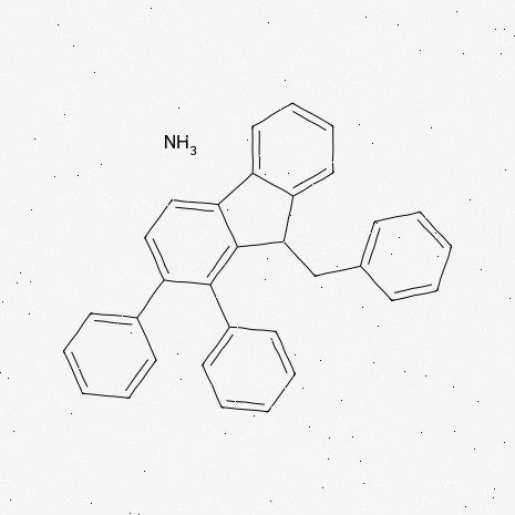 N.c1ccc(CC2c3ccccc3-c3ccc(-c4ccccc4)c(-c4ccccc4)c32)cc1